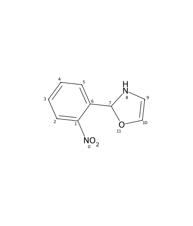 O=[N+]([O-])c1ccccc1C1NC=CO1